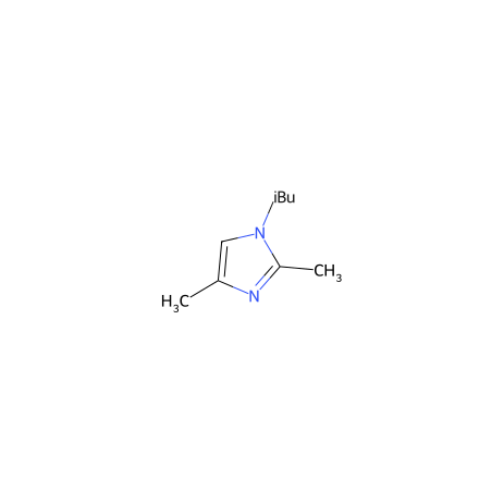 CCC(C)n1cc(C)nc1C